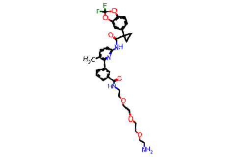 Cc1ccc(NC(=O)C2(c3ccc4c(c3)OC(F)(F)O4)CC2)nc1-c1cccc(C(=O)NCCOCCOCCOCCN)c1